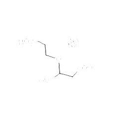 O=C([O-])CC(OCCC(=O)O)C(=O)[O-].[Na+].[Na+]